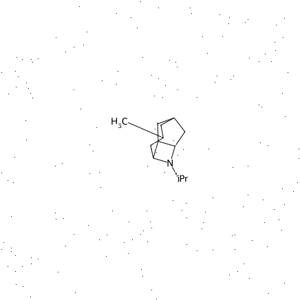 CC1C=C2C3CC(C1)CC3N2C(C)C